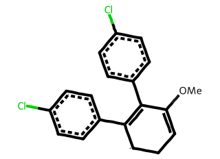 COC1=CC[CH]C(c2ccc(Cl)cc2)=C1c1ccc(Cl)cc1